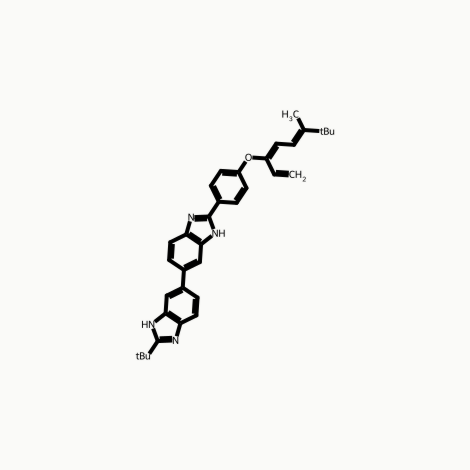 C=C/C(=C\C=C(/C)C(C)(C)C)Oc1ccc(-c2nc3ccc(-c4ccc5nc(C(C)(C)C)[nH]c5c4)cc3[nH]2)cc1